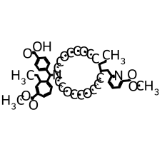 CCC1C=C(C(=O)OC)C=CC=C1C(c1ccc(C(=O)O)cc1)N1CCOCCOCCCC(Cc2cccc(C(=O)OC)n2)C(CC)CCOCCOCC1